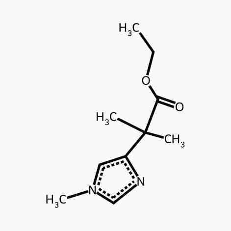 CCOC(=O)C(C)(C)c1cn(C)cn1